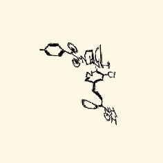 Cc1ccc(S(=O)(=O)N2CC[C@@H](Nc3ncc(/C=C/C(=O)NO)cc3Cl)C2)cc1.Cl